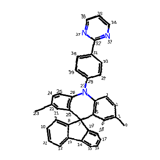 Cc1ccc2c(c1)C1(c3ccccc3-c3ccccc31)c1cc(C)ccc1N2c1ccc(-c2ncccn2)cc1